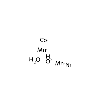 O.O.[Co].[Mn].[Mn].[Ni]